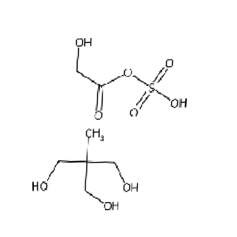 CC(CO)(CO)CO.O=C(CO)OS(=O)(=O)O